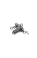 CCNS(=O)(=O)C(F)(F)C(F)(F)C(F)(F)C(F)(F)C(F)(F)C(F)(F)C(F)(F)C(F)(F)F.O=S(=O)(c1ccc(Cl)cc1)c1cc(Cl)c(Cl)cc1Cl